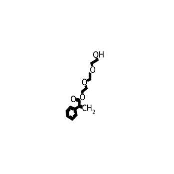 C=C(C(=O)OCCOCCOCCO)c1ccccc1